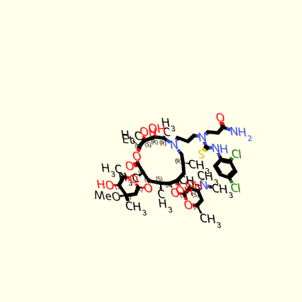 CC[C@H]1OC(=O)[C@H](C)[C@@H](O[C@H]2C[C@@](C)(OC)[C@@H](O)[C@H](C)O2)[C@H](C)[C@@H](O[C@@H]2O[C@H](C)C[C@H](N(C)C)[C@H]2O)[C@](C)(O)C[C@@H](C)CN(CCCN(CCC(N)=O)C(=S)Nc2ccc(Cl)cc2Cl)[C@H](C)[C@@H](O)[C@]1(C)O